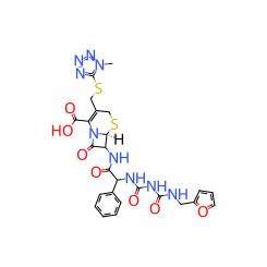 Cn1nnnc1SCC1=C(C(=O)O)N2C(=O)C(NC(=O)C(NC(=O)NC(=O)NCc3ccco3)c3ccccc3)[C@@H]2SC1